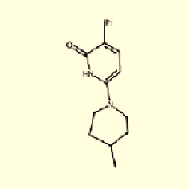 CC1CCN(c2ccc(C(C)C)c(=O)[nH]2)CC1